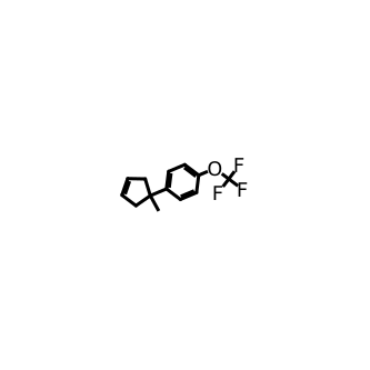 CC1(c2ccc(OC(F)(F)F)cc2)CC=CC1